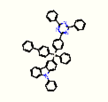 c1ccc(-c2ccc([Si](c3ccccc3)(c3ccc(-c4nc(-c5ccccc5)nc(-c5ccccc5)n4)cc3)c3ccc4c(c3)c3ccccc3n4-c3ccccc3)cc2)cc1